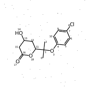 CC(C)(Oc1ccc(Cl)cc1)C1CC(O)CC(=O)O1